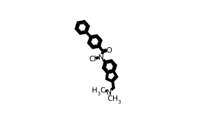 CN(C)CC1=Cc2ccc(N(Cl)C(=O)c3ccc(-c4ccccc4)cc3)cc2C1